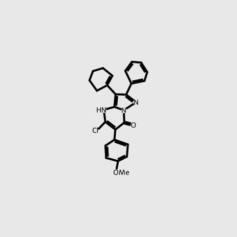 COc1ccc(-c2c(Cl)[nH]c3c(C4=CCCCC4)c(-c4ccccc4)nn3c2=O)cc1